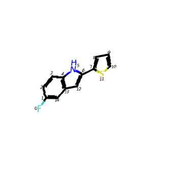 Fc1ccc2[nH]c(-c3cccs3)cc2c1